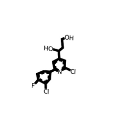 OCCC(O)c1cc(Cl)nc(-c2ccc(F)c(Cl)c2)c1